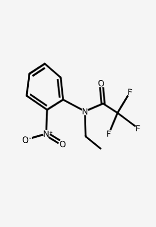 CCN(C(=O)C(F)(F)F)c1ccccc1[N+](=O)[O-]